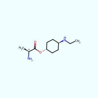 CCN[C@H]1CC[C@H](OC(=O)[C@H](C)N)CC1